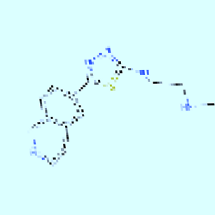 CNCCNc1nnc(-c2ccc3cnccc3c2)s1